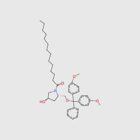 CCCCCCCCCCCCCC(=O)N1C[C@H](O)C[C@H]1COC(c1ccccc1)(c1ccc(OC)cc1)c1ccc(OC)cc1